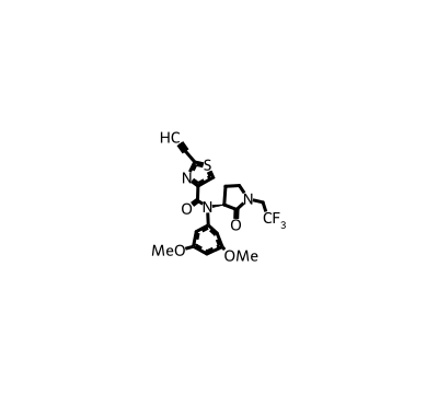 C#Cc1nc(C(=O)N(c2cc(OC)cc(OC)c2)[C@H]2CCN(CC(F)(F)F)C2=O)cs1